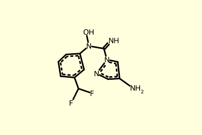 N=C(N(O)c1cccc(C(F)F)c1)n1cc(N)cn1